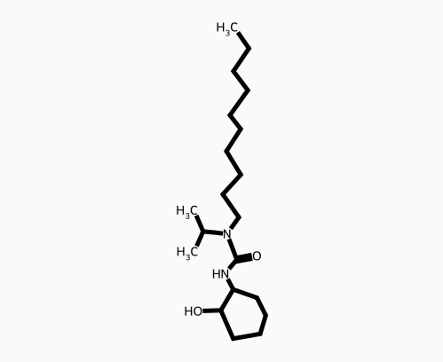 CCCCCCCCCCN(C(=O)NC1CCCCC1O)C(C)C